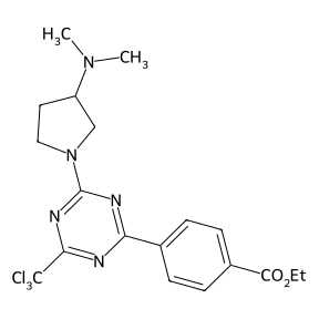 CCOC(=O)c1ccc(-c2nc(N3CCC(N(C)C)C3)nc(C(Cl)(Cl)Cl)n2)cc1